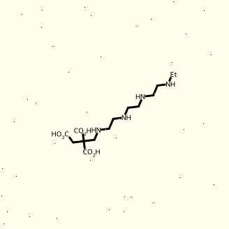 CCNCCNCCNCCNCC(CC(=O)O)(C(=O)O)C(=O)O